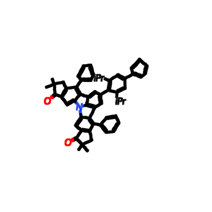 CC(C)c1cc(-c2ccccc2)cc(C(C)C)c1-c1cc2c3c(-c4ccccc4)c4c(cc3n3c5cc6c(c(-c7ccccc7)c5c(c1)c23)CC(C)(C)C6=O)C(=O)C(C)(C)C4